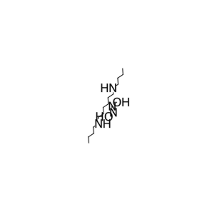 CCCCNCCCCCCNCCCC.ON=NO